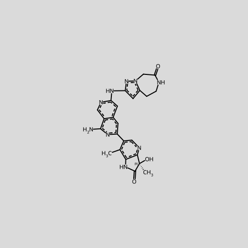 Cc1c(-c2cc3cc(Nc4cc5n(n4)CC(=O)NCC5)ncc3c(N)n2)cnc2c1NC(=O)[C@]2(C)O